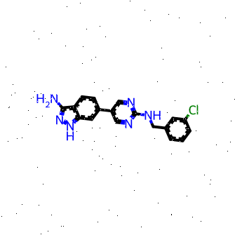 Nc1n[nH]c2cc(-c3cnc(NCc4cccc(Cl)c4)nc3)ccc12